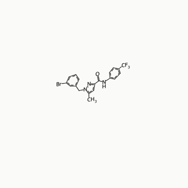 Cc1cc(C(=O)Nc2ccc(C(F)(F)F)cc2)nn1Cc1cccc(Br)c1